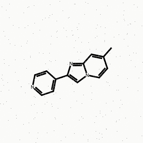 Cc1ccn2cc(-c3ccncc3)nc2c1